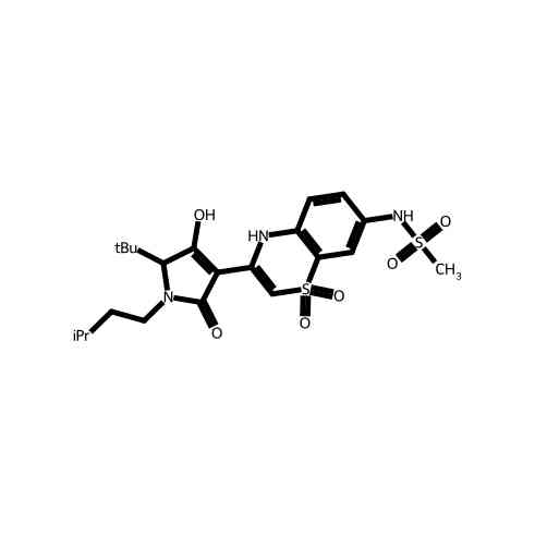 CC(C)CCN1C(=O)C(C2=CS(=O)(=O)c3cc(NS(C)(=O)=O)ccc3N2)=C(O)C1C(C)(C)C